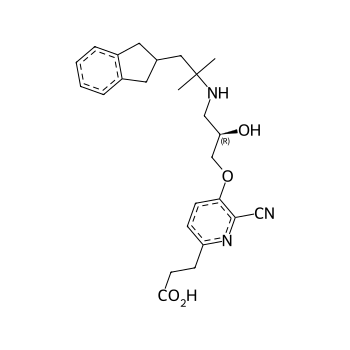 CC(C)(CC1Cc2ccccc2C1)NC[C@@H](O)COc1ccc(CCC(=O)O)nc1C#N